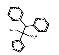 O=C(O)C(C(=O)O)(c1ccsc1)C(c1ccccc1)c1ccccc1